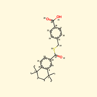 CC1(C)CCC(C)(C)c2cc(C(=O)SCc3ccc(C(=O)O)cc3)ccc21